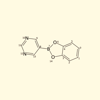 c1ccc2c(c1)OB(c1cncnc1)O2